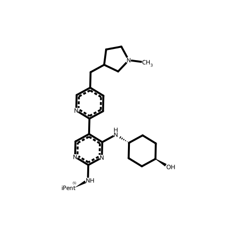 CCC[C@H](C)Nc1ncc(-c2ccc(CC3CCN(C)C3)cn2)c(N[C@H]2CC[C@H](O)CC2)n1